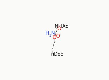 CCCCCCCCCCCCCCCCCCOC(=O)C(N)CCC(=O)NC(C)=O